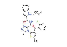 CCc1cc(C(=O)c2ccccc2F)c(-n2c(C)nnc2CNC(=O)c2cc3ccccc3n2CC(=O)O)s1